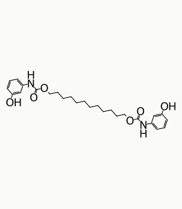 O=C(Nc1cccc(O)c1)OCCCCCCCCCCCCOC(=O)Nc1cccc(O)c1